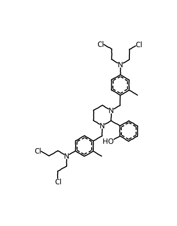 Cc1cc(N(CCCl)CCCl)ccc1CN1CCCN(Cc2ccc(N(CCCl)CCCl)cc2C)C1c1ccccc1O